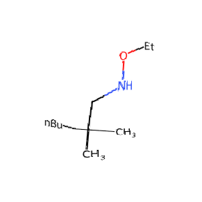 CCCCC(C)(C)CNOCC